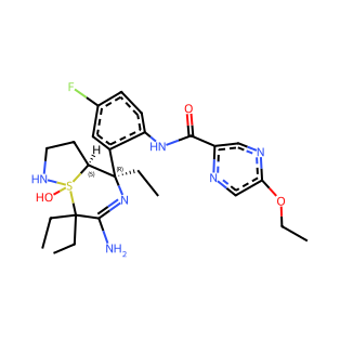 CCOc1cnc(C(=O)Nc2ccc(F)cc2[C@@]2(CC)N=C(N)C(CC)(CC)S3(O)NCC[C@@H]23)cn1